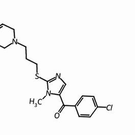 Cn1c(C(=O)c2ccc(Cl)cc2)cnc1SCCCN1CC=CCC1